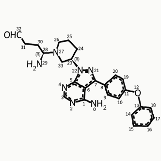 Nc1ncnc2c1c(-c1ccc(Oc3ccccc3)cc1)nn2[C@@H]1CCCN([C@@H](N)CCC=O)C1